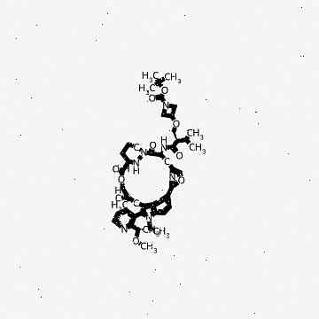 CCn1c(-c2cccnc2[C@H](C)OC)c2c3cc(ccc31)-c1nc(co1)C[C@H](NC(=O)[C@@H](COC1CN(C(=O)OC(C)(C)C)C1)C(C)C)C(=O)N1CCC[C@H](N1)C(=O)OCC(C)(C)C2